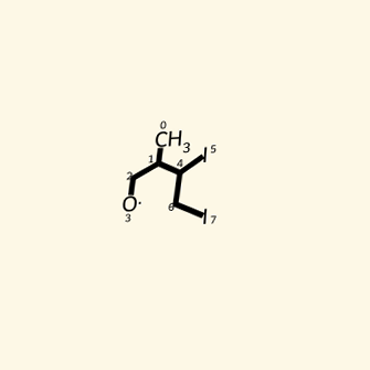 CC(C[O])C(I)CI